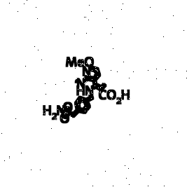 C=Nc1nc(OC)ccc1/C(NCc1ccc(CS(N)(=O)=O)cc1)=C(\C)C(=O)O